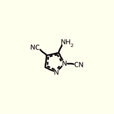 N#Cc1cnn(C#N)c1N